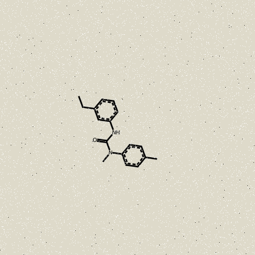 CCc1cccc(NC(=O)N(C)c2ccc(C)cc2)c1